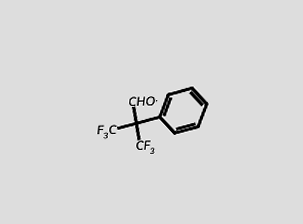 O=[C]C(c1ccccc1)(C(F)(F)F)C(F)(F)F